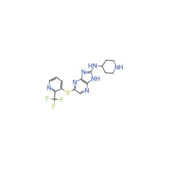 FC(F)(F)c1ncccc1Sc1cnc2[nH]c(NC3CCNCC3)nc2n1